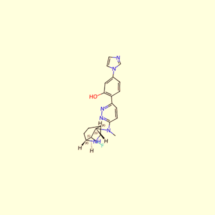 CN(c1ccc(-c2ccc(-n3ccnc3)cc2O)nn1)[C@H]1[C@@H]2CC[C@@H](NC2)[C@@H]1F